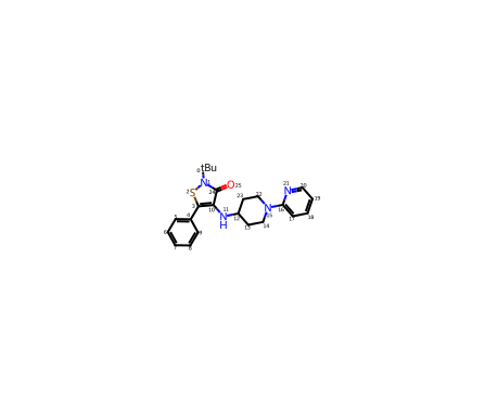 CC(C)(C)n1sc(-c2ccccc2)c(NC2CCN(c3ccccn3)CC2)c1=O